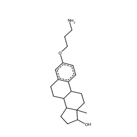 CC12CCC3c4ccc(OCCCN)cc4CCC3C1CCC2O